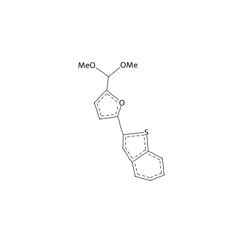 COC(OC)c1ccc(-c2cc3ccccc3s2)o1